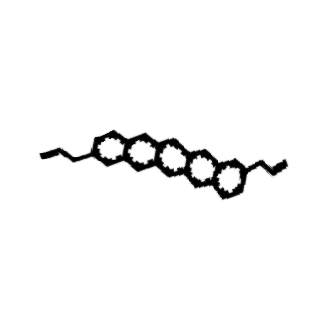 C=CCc1ccc2cc3cc4cc5cc(CC=C)ccc5cc4cc3cc2c1